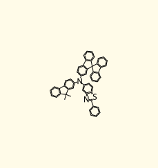 CC1(C)c2ccccc2-c2ccc(N(c3ccc4c(c3)C3(c5ccccc5-c5ccccc53)c3ccccc3-4)c3ccc4sc(-c5ccccc5)nc4c3)cc21